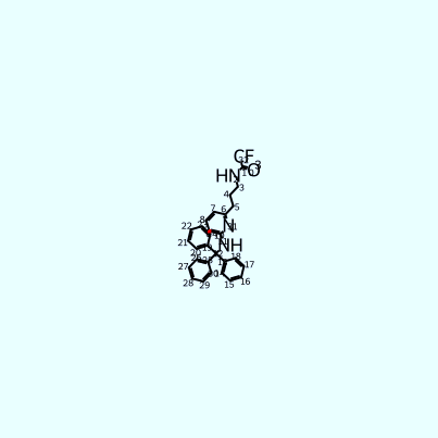 O=C(NCCCc1cccc(NC(c2ccccc2)(c2ccccc2)c2ccccc2)n1)C(F)(F)F